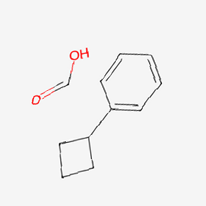 O=CO.c1ccc(C2CCC2)cc1